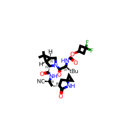 CC(C)(C)[C@H](NC(=O)OC1CC(F)(F)C1)C(=O)N1C[C@H]2[C@@H]([C@H]1C(=O)N[C@H](C#N)C[C@@H]1CC3(CC3)NC1=O)C2(C)C